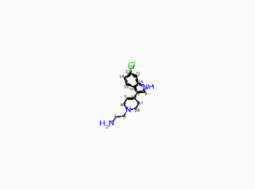 NCCN1CC=C(c2c[nH]c3cc(Cl)ccc23)CC1